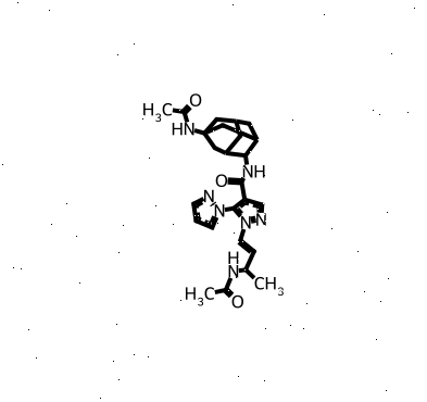 CC(=O)NC(C)/C=C/n1ncc(C(=O)NC2C3CC4CC2CC(NC(C)=O)(C4)C3)c1-n1cccn1